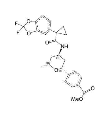 COC(=O)c1ccc([C@H]2C[C@H](NC(=O)C3(c4ccc5c(c4)OC(F)(F)O5)CC3)C[C@@H](C)O2)cc1